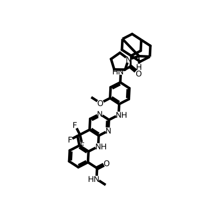 CNC(=O)c1cccc(C)c1Nc1nc(Nc2ccc(NC(=O)[C@]34CC5CC(C3)[C@@H](N3CCCC3)C(C5)C4)cc2OC)ncc1C(F)(F)F